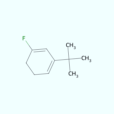 CC(C)(C)C1=CCCC(F)=C1